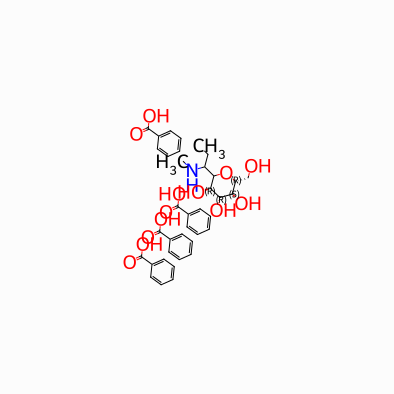 CCC(NC)C1O[C@H](CO)[C@@H](O)[C@H](O)[C@H]1O.O=C(O)c1ccccc1.O=C(O)c1ccccc1.O=C(O)c1ccccc1.O=C(O)c1ccccc1